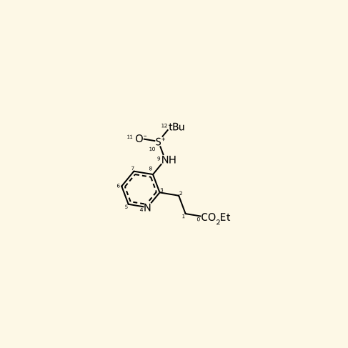 CCOC(=O)CCc1ncccc1N[S+]([O-])C(C)(C)C